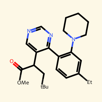 CCc1ccc(-c2ncncc2C(CC(C)(C)C)C(=O)OC)c(N2CCCCC2)c1